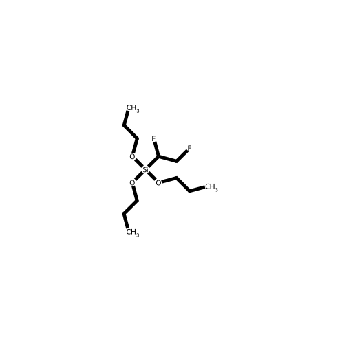 CCCO[Si](OCCC)(OCCC)C(F)CF